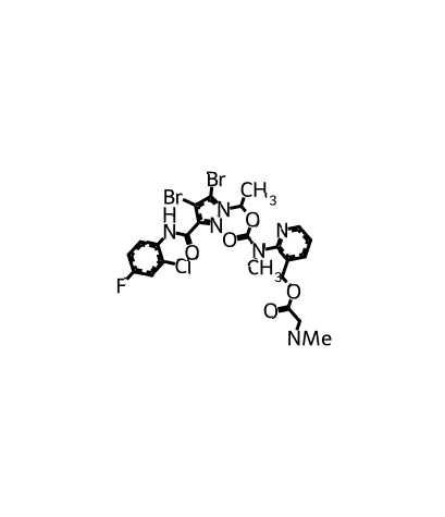 CNCC(=O)OCc1cccnc1N(C)C(=O)OC(C)n1nc(C(=O)Nc2ccc(F)cc2Cl)c(Br)c1Br